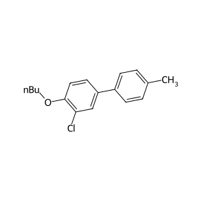 CCCCOc1ccc(-c2ccc(C)cc2)cc1Cl